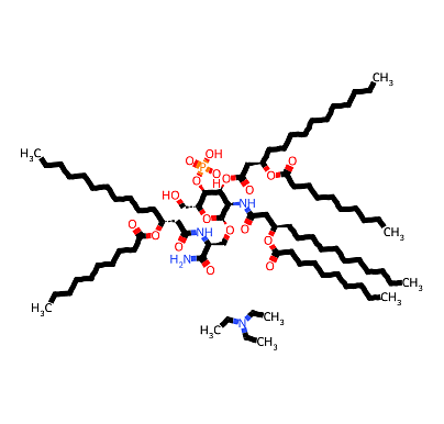 CCCCCCCCCCC[C@H](CC(=O)N[C@H]1[C@H](OC[C@H](NC(=O)C[C@@H](CCCCCCCCCCC)OC(=O)CCCCCCCCC)C(N)=O)O[C@H](CO)[C@@H](OP(=O)(O)O)[C@@H]1OC(=O)C[C@@H](CCCCCCCCCCC)OC(=O)CCCCCCCCC)OC(=O)CCCCCCCCC.CCN(CC)CC